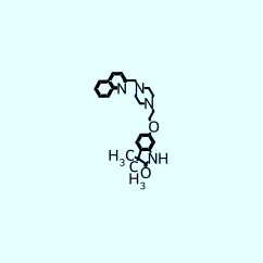 CC1(C)C(=O)Nc2cc(OCCN3CCN(Cc4ccc5ccccc5n4)CC3)ccc21